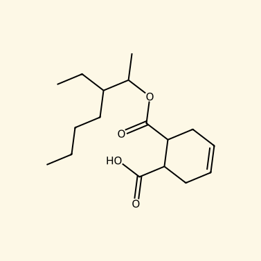 CCCCC(CC)C(C)OC(=O)C1CC=CCC1C(=O)O